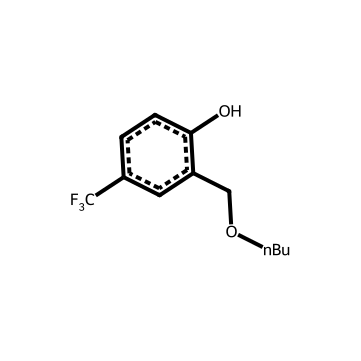 CCCCOCc1cc(C(F)(F)F)ccc1O